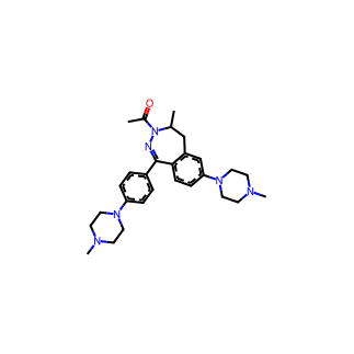 CC(=O)N1N=C(c2ccc(N3CCN(C)CC3)cc2)c2ccc(N3CCN(C)CC3)cc2CC1C